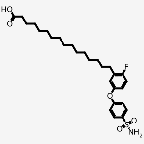 NS(=O)(=O)c1ccc(Oc2ccc(F)c(CCCCCCCCCCCCCCCC(=O)O)c2)cc1